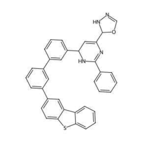 C1=NNC(C2=CC(c3cccc(-c4cccc(-c5ccc6sc7ccccc7c6c5)c4)c3)NC(c3ccccc3)=N2)O1